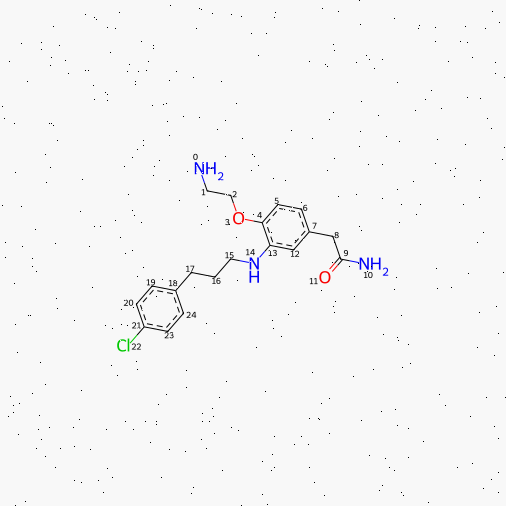 NCCOc1ccc(CC(N)=O)cc1NCCCc1ccc(Cl)cc1